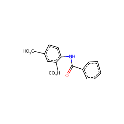 O=C(O)c1ccc(NC(=O)c2ccccc2)c(C(=O)O)c1